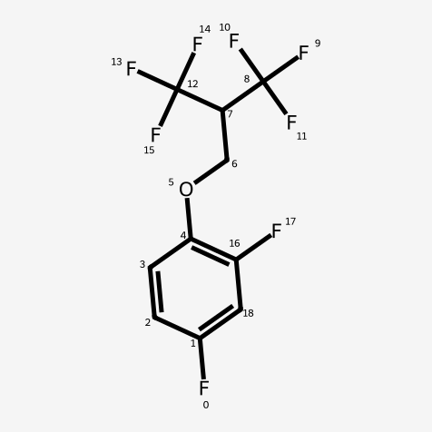 Fc1ccc(OCC(C(F)(F)F)C(F)(F)F)c(F)c1